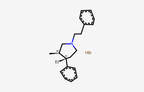 Br.CC[C@]1(c2ccccc2)CCN(CCc2ccccc2)C[C@@H]1C